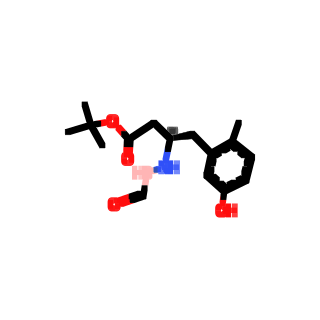 Cc1ccc(O)cc1C[C@H](CC(=O)OC(C)(C)C)NBC=O